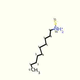 CCCCCCCCCC[NH2+][S-]